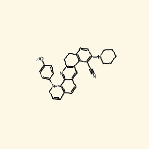 N#Cc1c(N2CCCCC2)ccc2c1-c1cc3ccc4c(c3nc1CC2)N(c1ccc(O)cc1)CC=C4